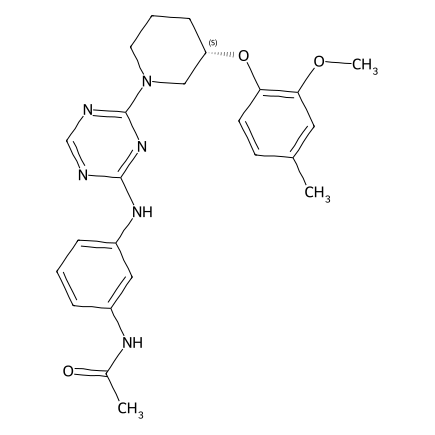 COc1cc(C)ccc1O[C@H]1CCCN(c2ncnc(Nc3cccc(NC(C)=O)c3)n2)C1